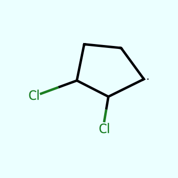 ClC1[CH]CCC1Cl